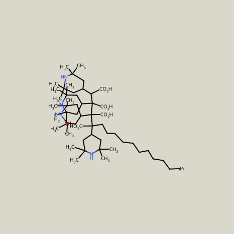 CC(C)CCCCCCCCCCC(C(=O)O)(C1CC(C)(C)NC(C)(C)C1)C(C(=O)O)(C1CC(C)(C)NC(C)(C)C1)C(C(=O)O)(C1CC(C)(C)NC(C)(C)C1)C(C(=O)O)C1CC(C)(C)NC(C)(C)C1